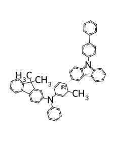 CC1C=C(N(c2ccccc2)c2ccc3c(c2)C(C)(C)c2ccccc2-3)C=C[C@@H]1c1ccc2c(c1)c1ccccc1n2-c1ccc(-c2ccccc2)cc1